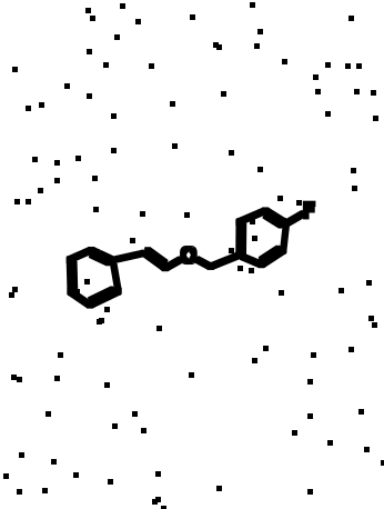 Fc1ccc(COC=Cc2ccccc2)cc1